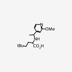 COc1cc(C(C)NC(CCC(C)(C)C)C(=O)O)ccn1